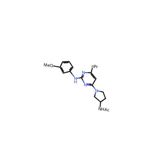 CCCc1cc(N2CCC(NC(C)=O)C2)nc(Nc2cccc(OC)c2)n1